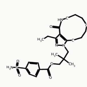 CCc1nn(CC(C)(C)COC(=O)c2ccc(S(N)(=O)=O)cc2)c2c1C(=O)NCCCOCCC2